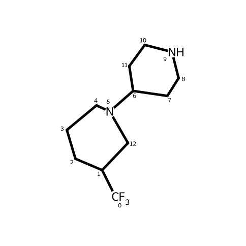 FC(F)(F)C1CCCN(C2CCNCC2)C1